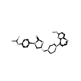 COc1ccc2nccc(N3CCN(C[C@@H]4CN(c5ccc(OC(F)F)cc5)C(=O)O4)CC3)c2n1